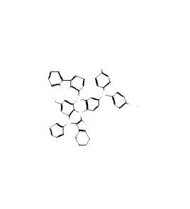 Cc1cc2c3c(c1)N(c1cccc4c1oc1ccccc14)c1cc(N(c4ccc(C(C)(C)C)cc4)c4ccc(C(C)(C)C)cc4)ccc1B3c1oc3c(c1N2c1ccccc1)CCCC3